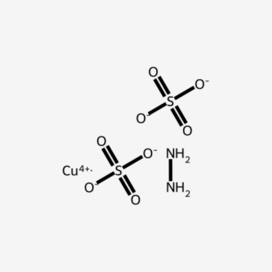 NN.O=S(=O)([O-])[O-].O=S(=O)([O-])[O-].[Cu+4]